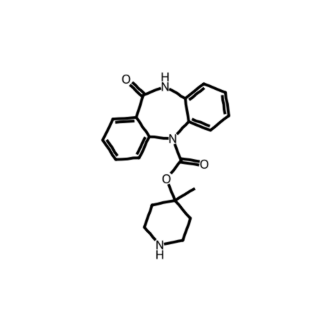 CC1(OC(=O)N2c3ccccc3NC(=O)c3ccccc32)CCNCC1